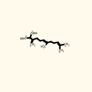 C=C(CC/C=C(\C)CCC=C(C)C)C(OC)OC